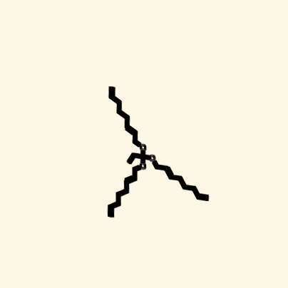 C=CCCCC=CCOC(CC)(OCC=CCCCC=C)OCC=CCCCC=C